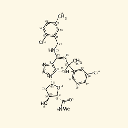 CNC(=O)[C@H]1O[C@@H](n2cnc3c2NC(C)(c2cncc(Cl)c2)N=C3NCc2cc(C)ccc2Cl)C[C@@H]1O